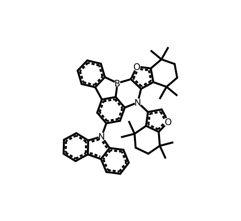 CC1(C)CCC(C)(C)c2c(N3c4cc(-n5c6ccccc6c6ccccc65)cc5c4B(c4ccccc4-5)c4oc5c(c43)C(C)(C)CCC5(C)C)coc21